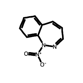 O=[N+]([O-])N1N=CC=Cc2ccccc21